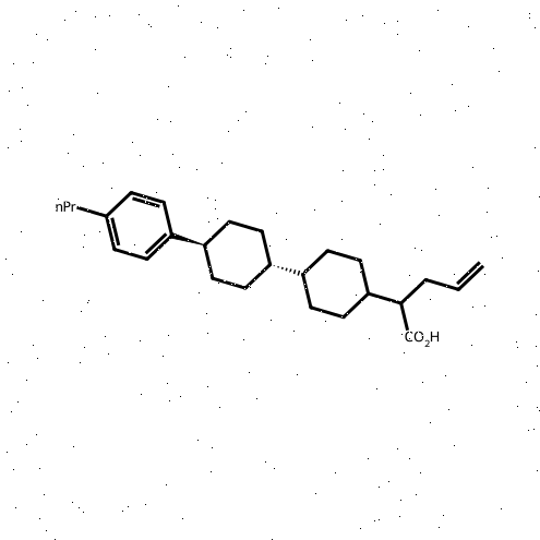 C=CCC(C(=O)O)C1CCC([C@H]2CC[C@H](c3ccc(CCC)cc3)CC2)CC1